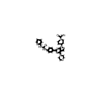 CC(C)C(=O)N1CCC(n2ncc3c(N4CCOCC4)nc(-c4ccc(NC(=O)Nc5ccccn5)cc4)nc32)CC1